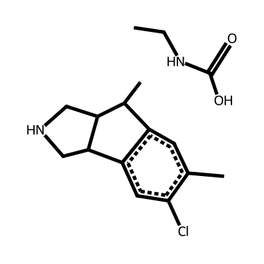 CCNC(=O)O.Cc1cc2c(cc1Cl)C1CNCC1C2C